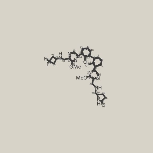 COc1nc(-c2cccc(-c3cccc(-c4cnc(CNC5CC(F)(F)C5)c(OC)n4)c3Cl)c2Cl)cnc1CNCC1CCC(=O)N1